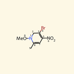 CON1CC(Br)=C([N+](=O)[O-])C=C1C